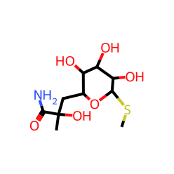 CSC1OC(CC(C)(O)C(N)=O)C(O)C(O)C1O